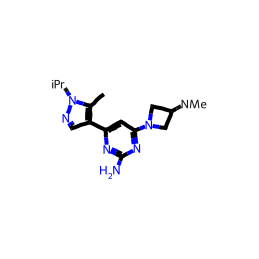 CNC1CN(c2cc(-c3cnn(C(C)C)c3C)nc(N)n2)C1